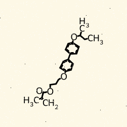 C=C(C)C(=O)OCCCOc1ccc(-c2ccc(OC(C)CC)cc2)cc1